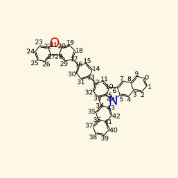 c1ccc2cc3c(cc2c1)c1cc(-c2ccc(-c4ccc5oc6ccccc6c5c4)cc2)cc2c4cc5ccccc5cc4n3c12